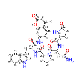 Cc1cc(=O)oc2cc(NC(=O)C(Cc3c[nH]c4ccccc34)NC(=O)C3CCCN3C(=O)C(CC(N)=O)NC(=O)C3CCC(=O)N3)ccc12